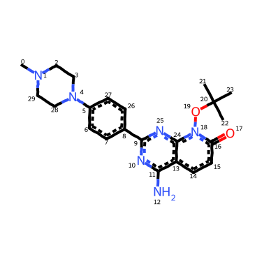 CN1CCN(c2ccc(-c3nc(N)c4ccc(=O)n(OC(C)(C)C)c4n3)cc2)CC1